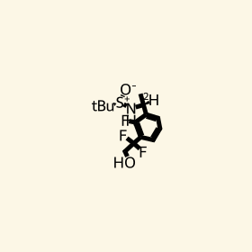 [2H][C@](C)(N[S@+]([O-])C(C)(C)C)c1cccc(C(F)(F)CO)c1F